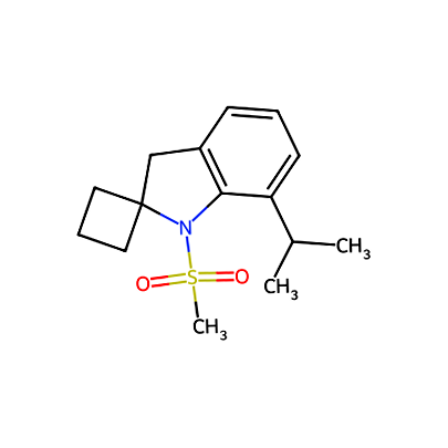 CC(C)c1cccc2c1N(S(C)(=O)=O)C1(CCC1)C2